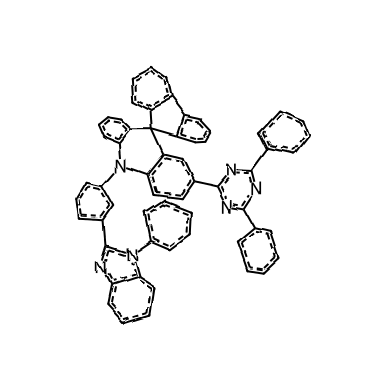 c1ccc(-c2nc(-c3ccccc3)nc(-c3ccc4c(c3)C3(c5ccccc5-c5ccccc53)c3ccccc3N4c3cccc(-c4nc5ccccc5n4-c4ccccc4)c3)n2)cc1